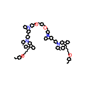 C=Cc1ccc(OCCCCCCC2(c3ccccc3)c3ccccc3-c3ccc(N(c4ccc(-c5ccc6c(c5)c5ccccc5n6-c5ccc(COCc6ccc(COCc7ccc(-n8c9ccccc9c9cc(-c%10ccc(N(c%11cccc(C)c%11)c%11ccc%12c(c%11)C(CCCCCCOc%11ccc(C=C)cc%11)(c%11ccccc%11)c%11ccccc%11-%12)cc%10)ccc98)cc7)cc6)cc5)cc4)c4cccc(C)c4)cc32)cc1